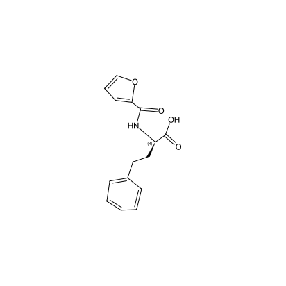 O=C(N[C@H](CCc1ccccc1)C(=O)O)c1ccco1